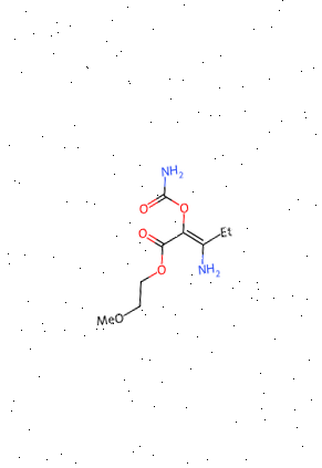 CCC(N)=C(OC(N)=O)C(=O)OCCOC